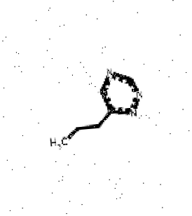 CCCc1[c]ncnn1